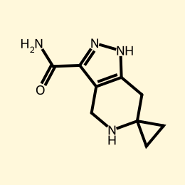 NC(=O)c1n[nH]c2c1CNC1(CC1)C2